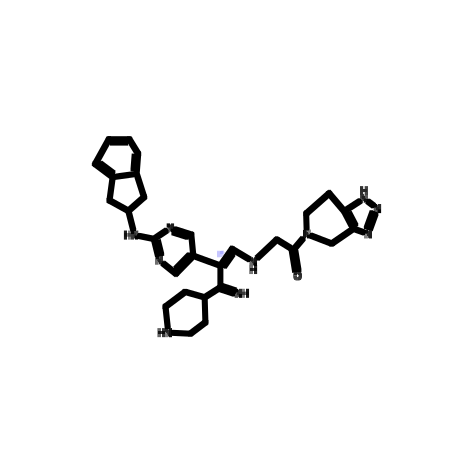 N=C(/C(=C\NCC(=O)N1CCc2[nH]nnc2C1)c1cnc(NC2Cc3ccccc3C2)nc1)C1CCNCC1